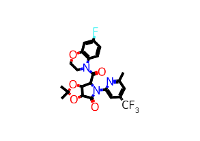 Cc1cc(C(F)(F)F)cc(N2C(=O)C3OC(C)(C)OC3C2C(=O)N2CCOc3cc(F)ccc32)n1